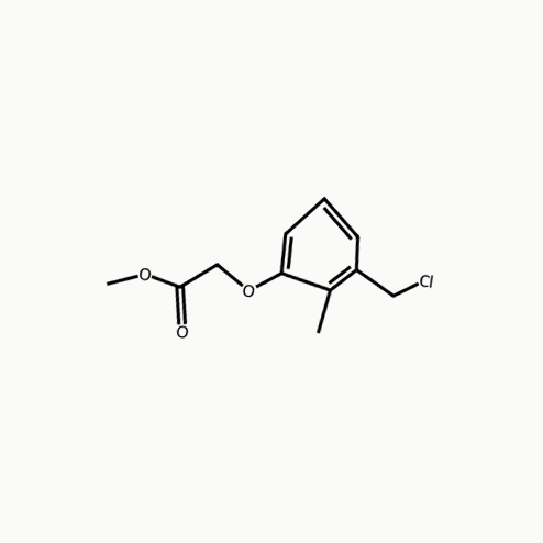 COC(=O)COc1cccc(CCl)c1C